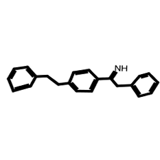 N=C(Cc1ccccc1)c1ccc(CCc2ccccc2)cc1